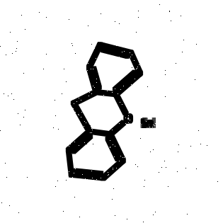 [Sn].c1ccc2c(c1)Cc1ccccc1O2